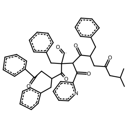 CC(C)CC(=O)CC(Cc1ccccc1)C(=O)C(C(=O)c1ccccn1)C([C]=O)(Cc1ccccc1)C(=O)C(CC(=O)c1ccccc1)Cc1ccccc1